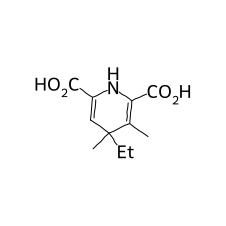 CCC1(C)C=C(C(=O)O)NC(C(=O)O)=C1C